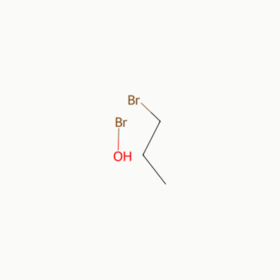 CCCBr.OBr